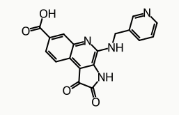 O=C1Nc2c(NCc3cccnc3)nc3cc(C(=O)O)ccc3c2C1=O